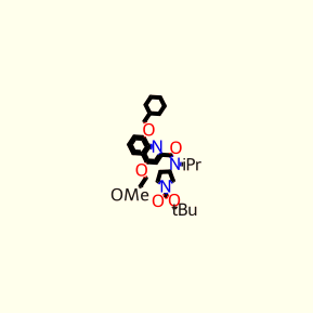 COCCOc1cc(C(=O)N(C(C)C)[C@H]2CCN(C(=O)OC(C)(C)C)C2)nc2c(OCC3CCCCC3)cccc12